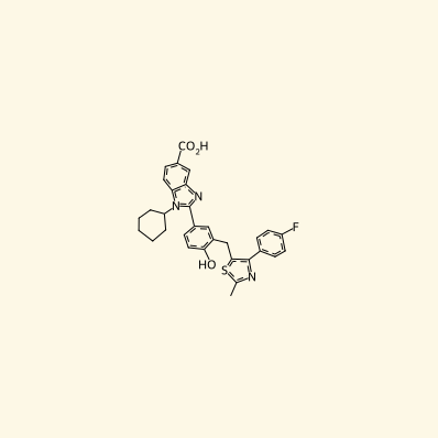 Cc1nc(-c2ccc(F)cc2)c(Cc2cc(-c3nc4cc(C(=O)O)ccc4n3C3CCCCC3)ccc2O)s1